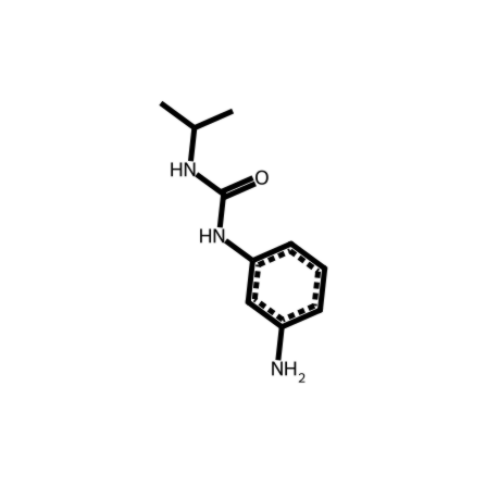 CC(C)NC(=O)Nc1cccc(N)c1